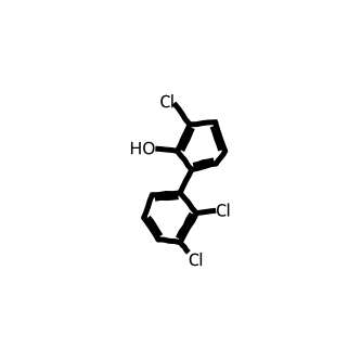 Oc1c(Cl)cccc1-c1cccc(Cl)c1Cl